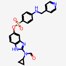 O=CN(c1nc2cc(OS(=O)(=O)c3ccc(NCc4ccncc4)cc3)ccc2[nH]1)C1CC1